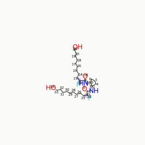 O=C(N[C@H]1CCC[C@H]1NC(=O)/C(F)=C\CCCCCCCCO)/C(F)=C\CCCCCCCCO